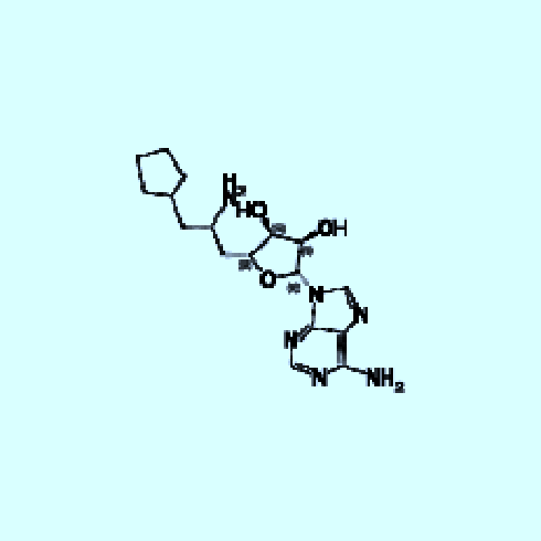 Nc1ncnc2c1ncn2[C@@H]1O[C@H](CC(N)CC2CCCC2)[C@@H](O)[C@H]1O